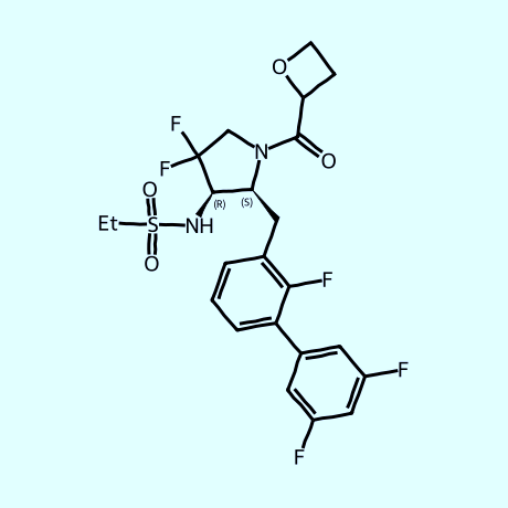 CCS(=O)(=O)N[C@@H]1[C@H](Cc2cccc(-c3cc(F)cc(F)c3)c2F)N(C(=O)C2CCO2)CC1(F)F